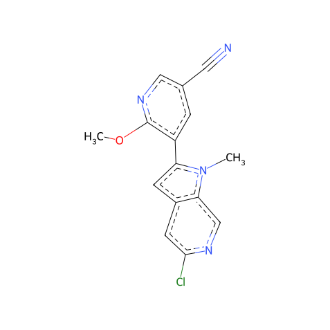 COc1ncc(C#N)cc1-c1cc2cc(Cl)ncc2n1C